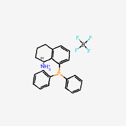 F[B-](F)(F)F.[NH3+][C@@H]1CCCc2cccc(P(c3ccccc3)c3ccccc3)c21